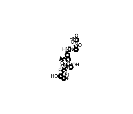 CCc1c(F)ccc2cc(O)cc(-c3ncc4c(N5CCC[C@@](C)(O)C5)nc(OCC5(CC6CNCCC67CCC(C)(C6CN(c8cccc9c8CN(C8CCC(=O)NC8=O)C9=O)CCN6)CC7)CC5)nc4c3F)c12